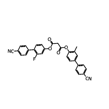 Cc1cc(-c2ccc(C#N)cc2)ccc1OC(=O)CC(=O)Oc1ccc(-c2ccc(C#N)cc2)c(F)c1